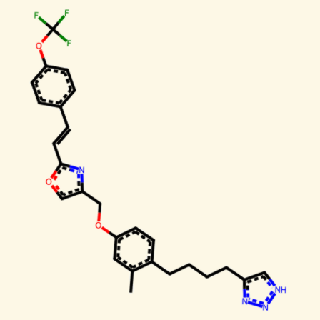 Cc1cc(OCc2coc(C=Cc3ccc(OC(F)(F)F)cc3)n2)ccc1CCCCc1c[nH]nn1